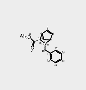 COC(=O)[C@@H]1C2C=CC(C2)N1Cc1ccccc1